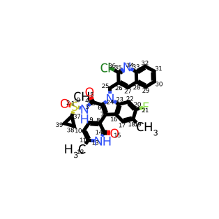 C=S(=O)(NC(=O)c1c(-c2ccc(C)[nH]c2=O)c2cc(C)c(F)cc2n1Cc1cc2ccccc2nc1Cl)C1CC1